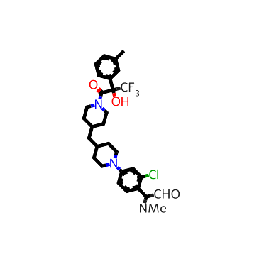 CNC(C=O)c1ccc(N2CCC(CC3CCN(C(=O)C(O)(c4cccc(C)c4)C(F)(F)F)CC3)CC2)cc1Cl